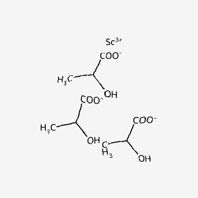 CC(O)C(=O)[O-].CC(O)C(=O)[O-].CC(O)C(=O)[O-].[Sc+3]